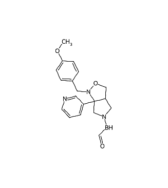 COc1ccc(CN2OCC3CN(BC=O)CC32c2cccnc2)cc1